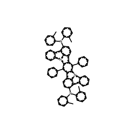 Cc1ccccc1N(c1ccccc1C)c1ccc2c3c(-c4ccccc4)c4c(c(-c5ccccc5)c3n3c5ccccc5c1c23)c1ccc(N(c2ccccc2C)c2ccccc2C)c2c3ccccc3n4c12